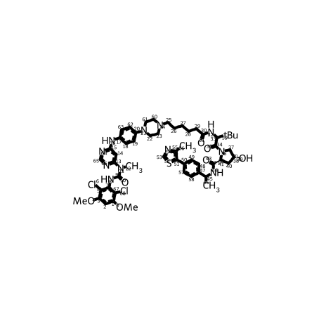 COc1cc(OC)c(Cl)c(NC(=O)N(C)c2cc(Nc3ccc(N4CCN(CCCCCC(=O)NC(C(=O)N5C[C@H](O)C[C@H]5C(=O)NC(C)c5ccc(-c6scnc6C)cc5)C(C)(C)C)CC4)cc3)ncn2)c1Cl